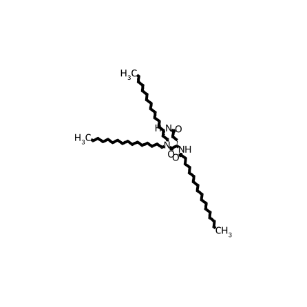 CCCCCCCCCCCCCCCCCC(=O)N[C@@H](CCC(N)=O)C(=O)N(CCCCCCCCCCCCCCCC)CCCCCCCCCCCCCCCC